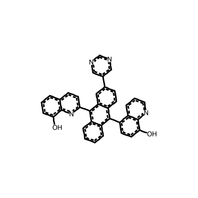 Oc1cccc2ccc(-c3c4ccccc4c(-c4ccc(O)c5ncccc45)c4ccc(-c5cncnc5)cc34)nc12